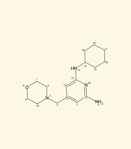 Nc1cc(CN2CCOCC2)cc(NC2CCCCC2)n1